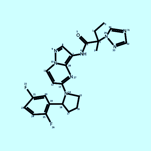 CCC(C)(C(=O)Nc1cnn2ccc(N3CCCC3c3cc(F)ccc3F)nc12)n1cncn1